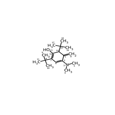 C=C1C(N(C)C)=CC(C(C)(C)C)=C(O)C1C(C)(C)C